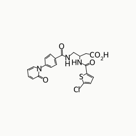 O=C(O)CC(CNC(=O)c1ccc(-n2ccccc2=O)cc1)NC(=O)c1ccc(Cl)s1